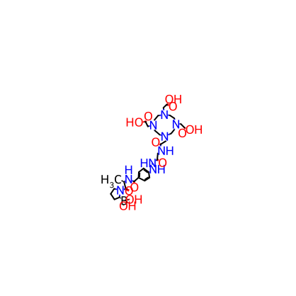 C[C@@H](NC(=O)c1ccc(NNC(=O)CNC(=O)CN2CCN(CC(=O)O)CCN(CC(=O)O)CCN(CC(=O)O)CC2)cc1)C(=O)N1CCC[C@H]1B(O)O